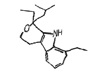 CCc1cccc2c3c([nH]c12)C(CC)(CC(C)C)OCC3